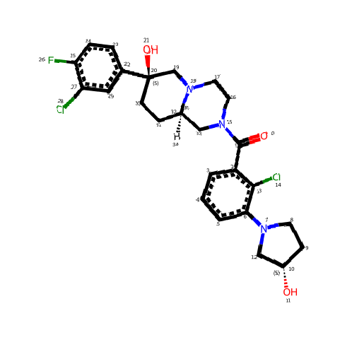 O=C(c1cccc(N2CC[C@H](O)C2)c1Cl)N1CCN2C[C@@](O)(c3ccc(F)c(Cl)c3)CC[C@@H]2C1